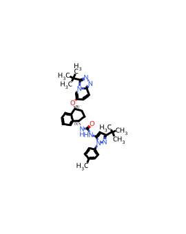 Cc1ccc(-n2nc(C(C)(C)C)cc2NC(=O)N[C@H]2CC[C@@H](Oc3ccc4nnc(C(C)(C)C)n4c3)c3ccccc32)cc1